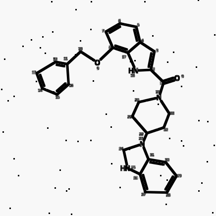 O=C(c1cc2cccc(OCc3ccccc3)c2[nH]1)N1CCC(N2[CH]Nc3ccccc32)CC1